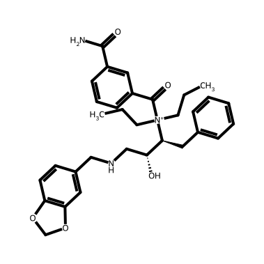 CCC[N+](CCC)(C(=O)c1cccc(C(N)=O)c1)[C@@H](Cc1ccccc1)[C@H](O)CNCc1ccc2c(c1)OCO2